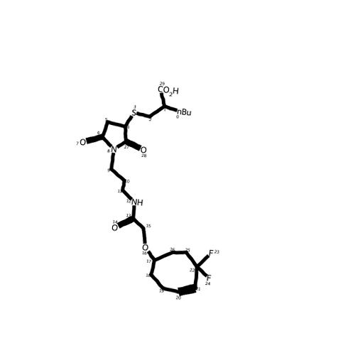 CCCCC(CSC1CC(=O)N(CCCNC(=O)COC2CCC#CC(F)(F)CC2)C1=O)C(=O)O